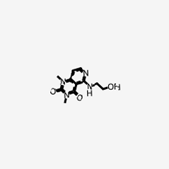 Cn1c(=O)c2c(NCCO)nccc2n(C)c1=O